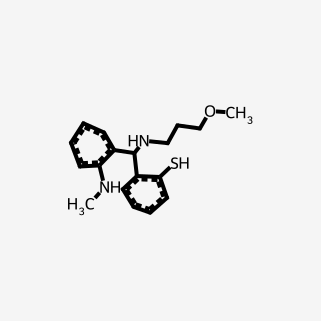 CNc1ccccc1C(NCCCOC)c1ccccc1S